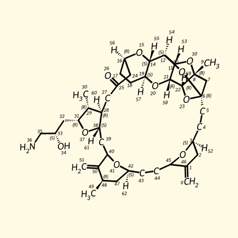 C=C1C[C@@H]2CC[C@@]34C[C@@]5(C)O[C@H]6[C@@H](O3)[C@H]3O[C@H](CC[C@@H]3O[C@H]6[C@H]5O4)CC(=O)C[C@@H]3[C@@H](C)[C@@H](C[C@H](O)CN)O[C@H]3CC3O[C@@H](CCC1O2)C[C@@H](C)C3=C